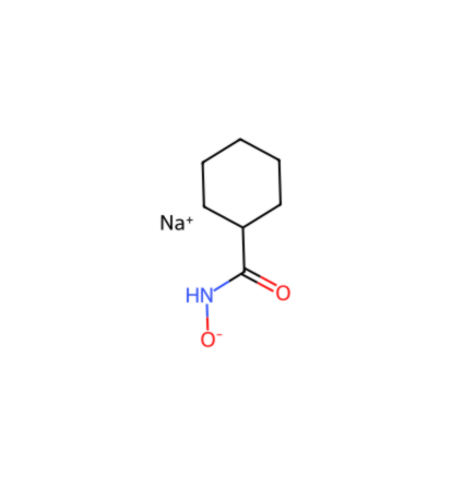 O=C(N[O-])C1CCCCC1.[Na+]